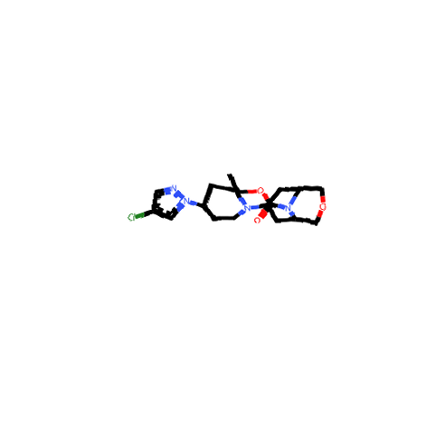 CCOC(=O)N1C2COCC1CC(N1CCC(n3cc(Cl)cn3)CC1)C2